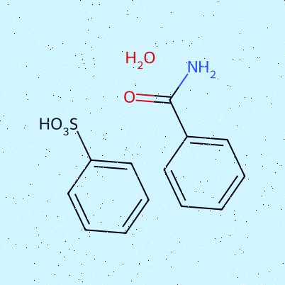 NC(=O)c1ccccc1.O.O=S(=O)(O)c1ccccc1